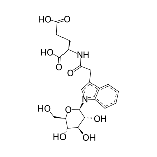 O=C(O)CC[C@@H](NC(=O)Cc1cn([C@@H]2O[C@H](CO)[C@@H](O)[C@H](O)[C@H]2O)c2ccccc12)C(=O)O